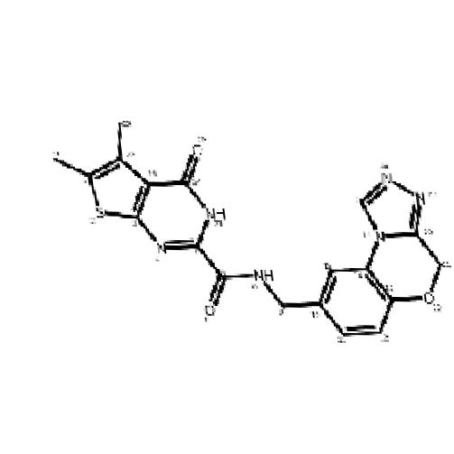 Cc1sc2nc(C(=O)NCc3ccc4c(c3)-n3cnnc3CO4)[nH]c(=O)c2c1C